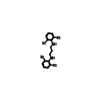 CCc1cccc(CC)c1NCCCNc1c(CC)cccc1CC